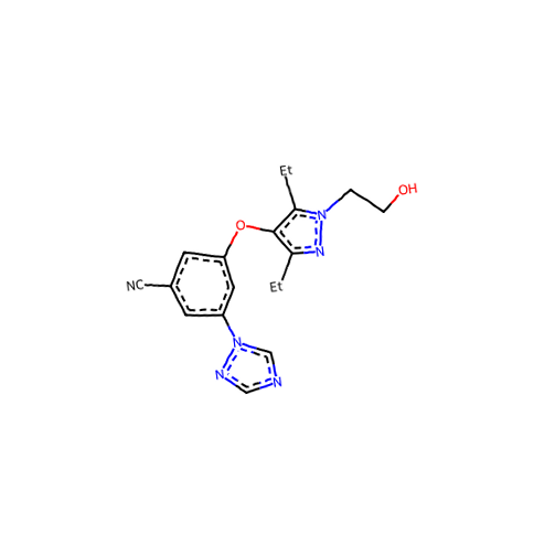 CCc1nn(CCO)c(CC)c1Oc1cc(C#N)cc(-n2cncn2)c1